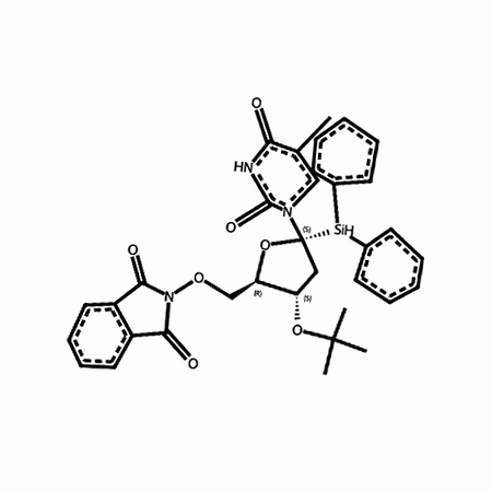 Cc1cn([C@@]2([SiH](c3ccccc3)c3ccccc3)C[C@H](OC(C)(C)C)[C@@H](CON3C(=O)c4ccccc4C3=O)O2)c(=O)[nH]c1=O